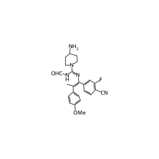 COc1ccc(/C(C)=C(/N=C(\NC=O)N2CCC(N)CC2)c2ccc(C#N)c(F)c2)cc1